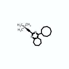 C[Si](C)(C)C#Cc1nc2c(c(C3CCCCCCCC3)n1)CCCCC2